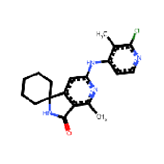 Cc1nc(Nc2ccnc(Cl)c2C)cc2c1C(=O)NC21CCCCC1